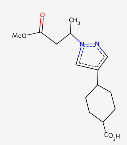 COC(=O)CC(C)n1cc(C2CCC(C(=O)O)CC2)cn1